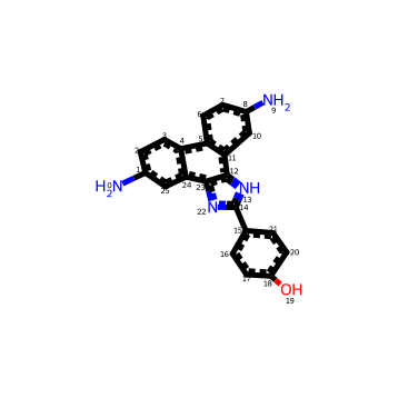 Nc1ccc2c3ccc(N)cc3c3[nH]c(-c4ccc(O)cc4)nc3c2c1